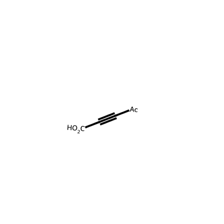 CC(=O)C#CC(=O)O